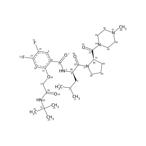 CC(C)C[C@@H](NC(=O)c1cc(F)c(F)cc1OCC(=O)NC(C)(C)C)C(=O)N1CCC[C@@H]1C(=O)N1CCN(C)CC1